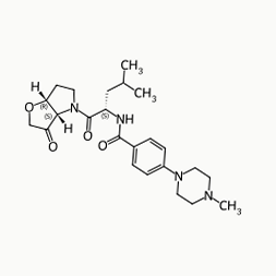 CC(C)C[C@H](NC(=O)c1ccc(N2CCN(C)CC2)cc1)C(=O)N1CC[C@H]2OCC(=O)[C@H]21